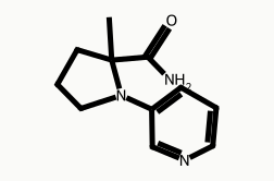 CC1(C(N)=O)CCCN1c1cccnc1